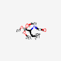 CCO[Si](OCC)(OCC)C(CC(C)C)N=C=O